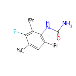 CC(C)c1cc(C#N)c(F)c(C(C)C)c1NC(N)=O